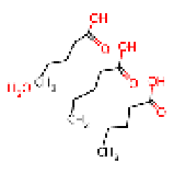 CCCCC(=O)O.CCCCC(=O)O.CCCCC(=O)O.O